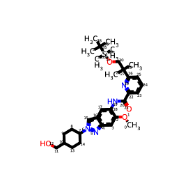 COc1cc2nn(C3CCC(CO)CC3)cc2cc1NC(=O)c1cccc(C(C)(C)CO[Si](C)(C)C(C)(C)C)n1